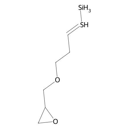 [SiH3][SH]=CCCOCC1CO1